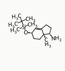 CC(C)(C)[Si](C)(C)O[C@H]1C=C2CC[C@@H](N)[C@]2(C)CC1